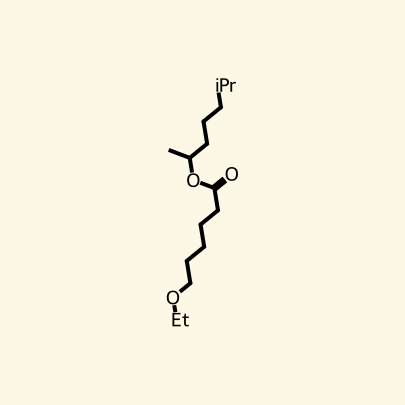 CCOCCCCCC(=O)OC(C)CCCC(C)C